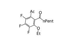 CCCCCC(=O)c1c(OCC)c(F)c(F)c(F)c1C(C)=O